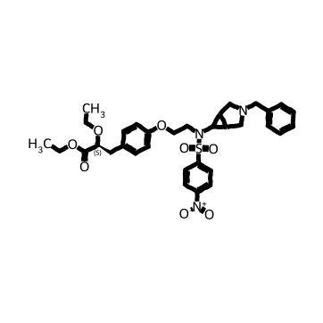 CCOC(=O)[C@H](Cc1ccc(OCCN(C2C3CN(Cc4ccccc4)CC32)S(=O)(=O)c2ccc([N+](=O)[O-])cc2)cc1)OCC